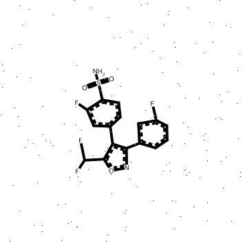 NS(=O)(=O)c1ccc(-c2c(-c3cccc(F)c3)noc2C(F)F)cc1F